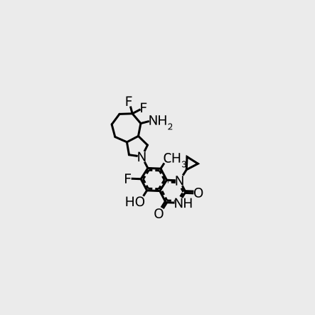 Cc1c(N2CC3CCCC(F)(F)C(N)C3C2)c(F)c(O)c2c(=O)[nH]c(=O)n(C3CC3)c12